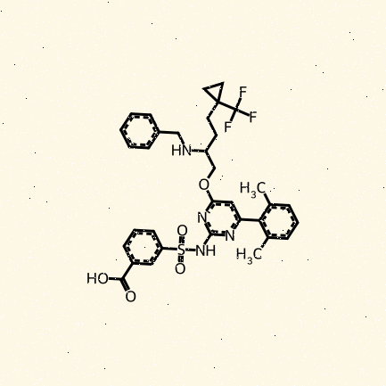 Cc1cccc(C)c1-c1cc(OCC(CCC2(C(F)(F)F)CC2)NCc2ccccc2)nc(NS(=O)(=O)c2cccc(C(=O)O)c2)n1